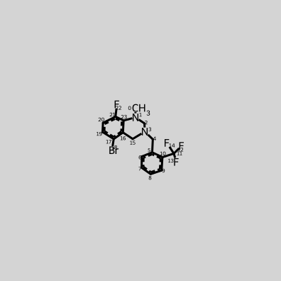 CN1CN(Cc2ccccc2C(F)(F)F)Cc2c(Br)ccc(F)c21